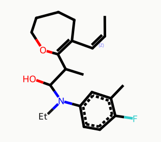 C/C=C\C1=C(C(C)C(O)N(CC)c2ccc(F)c(C)c2)OCCCC1